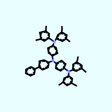 Cc1cc(C)cc(N(c2ccc(N(c3ccc(-c4ccccc4)cc3)c3ccc(N(c4cc(C)cc(C)c4)c4cc(C)cc(C)c4)cc3)cc2)c2cc(C)cc(C)c2)c1